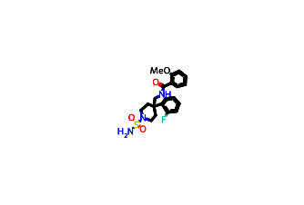 COc1ccccc1C(=O)NCC1(c2ccccc2F)CCN(S(N)(=O)=O)CC1